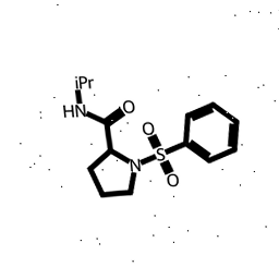 CC(C)NC(=O)C1CCCN1S(=O)(=O)c1ccccc1